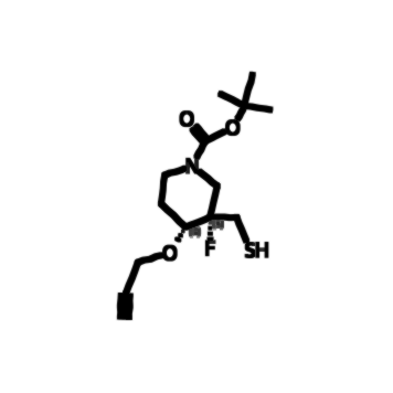 C#CCO[C@@H]1CCN(C(=O)OC(C)(C)C)C[C@@]1(F)CS